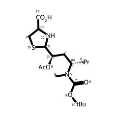 CC(=O)O[C@H](C[C@H](C(C)C)N(C)C(=O)OC(C)(C)C)C1NC(C(=O)O)CS1